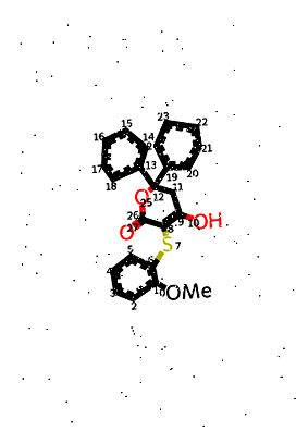 COc1ccccc1SC1=C(O)CC(c2ccccc2)(c2ccccc2)OC1=O